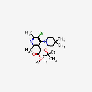 CCC(C)(C)O[C@H](C(=O)OC(C)C)c1c(C)nc(C)c(Br)c1N1CCC(C)(C)CC1